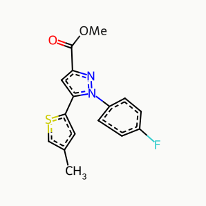 COC(=O)c1cc(-c2cc(C)cs2)n(-c2ccc(F)cc2)n1